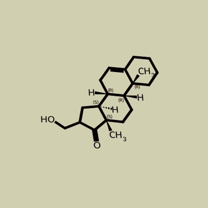 C[C@]12CCCCC1=CC[C@@H]1[C@H]2CC[C@]2(C)C(=O)C(CO)C[C@@H]12